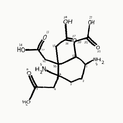 NC1CCC(N)(CC(=O)O)C(CC(=O)O)(CC(=O)O)C1CC(=O)O